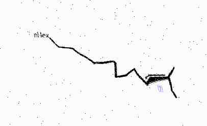 [CH2]/C(C)=C/CCCCCCCCCCCC